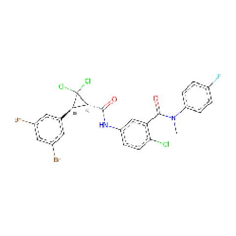 CN(C(=O)c1cc(NC(=O)[C@@H]2[C@@H](c3cc(Br)cc(Br)c3)C2(Cl)Cl)ccc1Cl)c1ccc(F)cc1